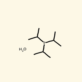 CC(C)P(C(C)C)C(C)C.O